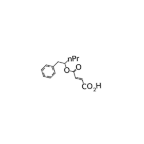 CCCC(Cc1ccccc1)OC(=O)C=CC(=O)O